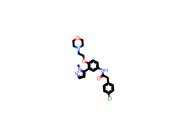 Cn1nccc1-c1cc(NC(=O)Cc2ccc(Cl)cc2)ccc1OCCN1CCOCC1